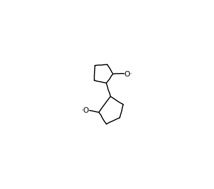 [O]C1CCCC1C1CCCC1[O]